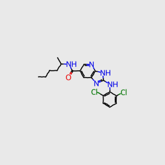 CCCCC(C)NC(=O)c1cnc2[nH]c(Nc3c(Cl)cccc3Cl)nc2c1